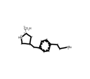 CC(C)(C)CCc1ccc(CC2CN[C@H](C(=O)O)C2)cc1